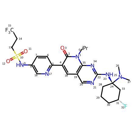 CC(C)n1c(=O)c(-c2ccc(NS(=O)(=O)CCC(F)(F)F)cn2)cc2cnc(N[C@]3(N(C)C)CCC[C@@H](F)C3)nc21